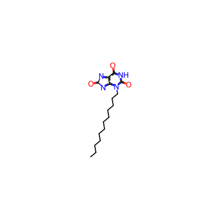 CCCCCCCCCCCCn1c(=O)[nH]c(=O)c2c1=NC(=O)N=2